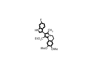 CCOC(=O)c1c(-c2c[nH]c3cc(F)ccc23)c(C)n2c1-c1cc(OC)c(OC)cc1CC2